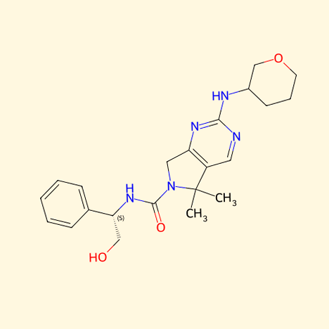 CC1(C)c2cnc(NC3CCCOC3)nc2CN1C(=O)N[C@H](CO)c1ccccc1